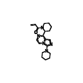 C=CC(=O)N1CCCCC1c1nccn2c(N3CCCCC3)ncc12